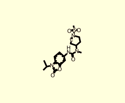 CC(C)n1c(=O)oc2cc(NC(=O)N(C)C3CCN(S(C)(=O)=O)CC3)ccc21